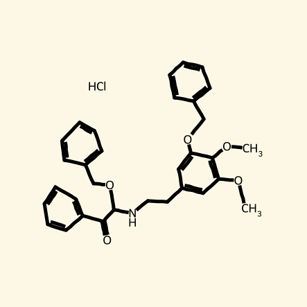 COc1cc(CCNC(OCc2ccccc2)C(=O)c2ccccc2)cc(OCc2ccccc2)c1OC.Cl